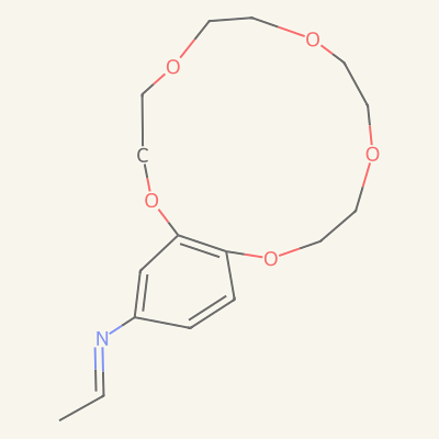 C/C=N/c1ccc2c(c1)OCCOCCOCCOCCO2